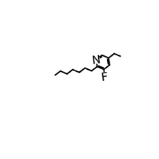 CCCCCCCc1ncc(CC)cc1F